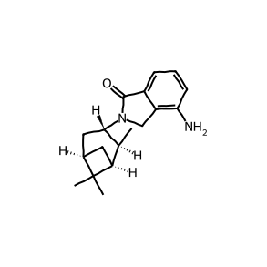 C[C@@H]1[C@@H](N2Cc3c(N)cccc3C2=O)C[C@H]2C[C@@H]1C2(C)C